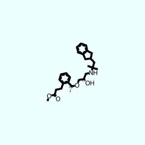 COC(=O)CCc1ccccc1[C@@H](C)OC[C@@H](O)CNC(C)(C)CC1Cc2ccccc2C1